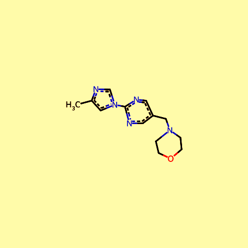 Cc1cn(-c2ncc(CN3CCOCC3)cn2)cn1